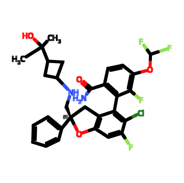 CC(C)(O)C1CC(NC[C@@]2(c3ccccc3)Cc3c(cc(F)c(Cl)c3-c3c(C(N)=O)ccc(OC(F)F)c3F)O2)C1